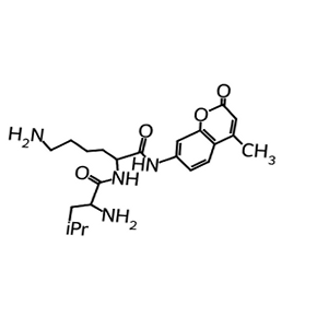 Cc1cc(=O)oc2cc(NC(=O)C(CCCCN)NC(=O)C(N)CC(C)C)ccc12